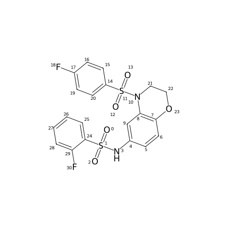 O=S(=O)(Nc1ccc2c(c1)N(S(=O)(=O)c1ccc(F)cc1)CCO2)c1ccccc1F